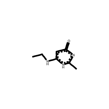 CCNc1cc(=O)nc(C)[nH]1